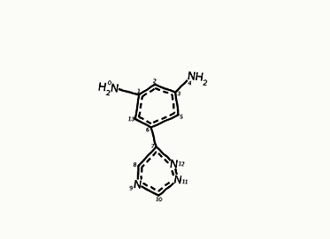 Nc1cc(N)cc(-c2cncnn2)c1